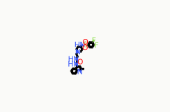 Cc1cc(NC(=O)NCCN2CCC(NS(=O)(=O)c3ccc(F)c(F)c3)CC2)c2ccccc2n1